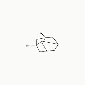 C[C@]12C[C]3CC(C1)C[C@@](C)(C3)C2